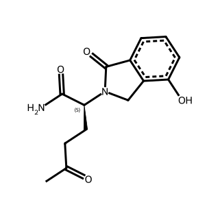 CC(=O)CC[C@@H](C(N)=O)N1Cc2c(O)cccc2C1=O